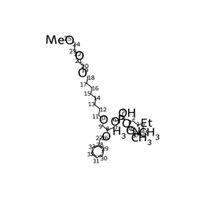 CCC(COP(O)OCC(COCCCCCCCCOCCOCCOC)OCc1ccccc1)[N+](C)(C)C